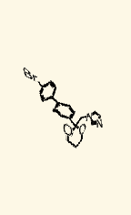 Brc1ccc(-c2ccc(C3(Cn4ccnc4)OCCCO3)cc2)cc1